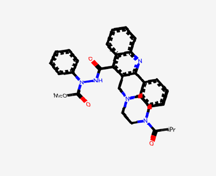 COC(=O)N(NC(=O)c1c(CN2CCN(C(=O)C(C)C)CC2)c(-c2ccccc2)nc2ccccc12)c1ccccc1